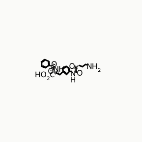 NCCC[C@H]1Oc2ccc(C[C@H](NS(=O)(=O)c3ccccc3)C(=O)O)cc2NC1=O